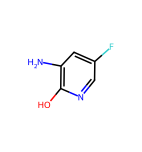 Nc1cc(F)cnc1O